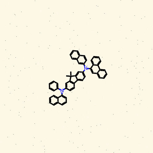 CC1(C)c2cc(N(c3ccccc3)c3cccc4ccccc34)ccc2-c2ccc(N(c3ccc4ccccc4c3)c3cc4ccccc4c4ccccc34)cc21